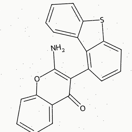 Nc1oc2ccccc2c(=O)c1-c1cccc2sc3ccccc3c12